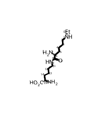 CCNCCCC[C@H](N)C(=O)NCCCC[C@H](N)C(=O)O